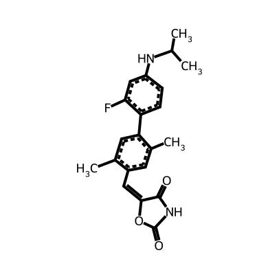 Cc1cc(-c2ccc(NC(C)C)cc2F)c(C)cc1/C=C1/OC(=O)NC1=O